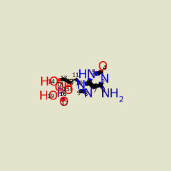 Nc1nc(=O)[nH]c2c1ncn2C[C@@H](CO)OP(=O)(O)O